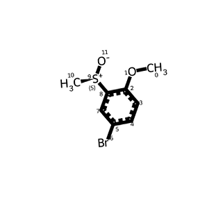 COc1ccc(Br)cc1[S@@+](C)[O-]